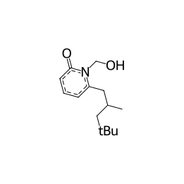 CC(Cc1cccc(=O)n1CO)CC(C)(C)C